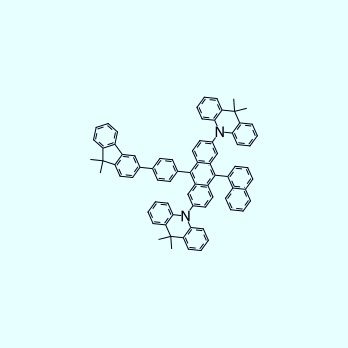 CC1(C)c2ccccc2-c2cc(-c3ccc(-c4c5cc(N6c7ccccc7C(C)(C)c7ccccc76)ccc5c(-c5cccc6ccccc56)c5cc(N6c7ccccc7C(C)(C)c7ccccc76)ccc45)cc3)ccc21